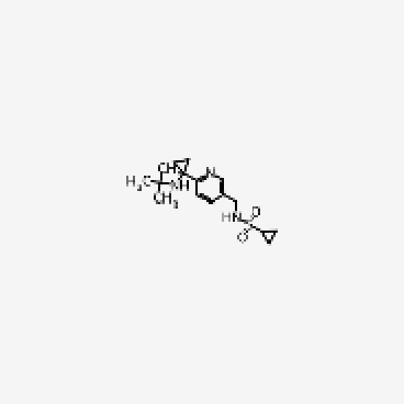 CC(C)(C)NC1(c2ccc(CNS(=O)(=O)C3CC3)cn2)CC1